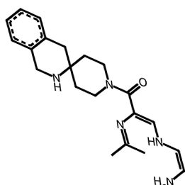 CC(C)=N/C(=C\N/C=C(/C)N)C(=O)N1CCC2(CC1)Cc1ccccc1CN2